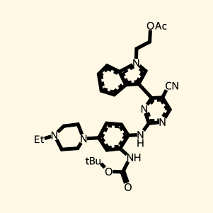 CCN1CCN(c2ccc(Nc3ncc(C#N)c(-c4cn(CCOC(C)=O)c5ccccc45)n3)c(NC(=O)OC(C)(C)C)c2)CC1